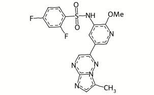 COc1ncc(-c2cnc3ncc(C)n3n2)cc1NS(=O)(=O)c1ccc(F)cc1F